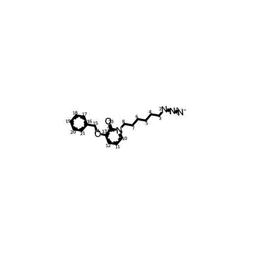 [N-]=[N+]=NCCCCCCn1cccc(OCc2ccccc2)c1=O